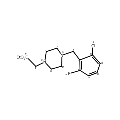 CCOC(=O)CN1CCN(Cc2c(F)cccc2Cl)CC1